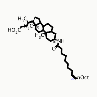 CCCCCCCC/C=C\CCCCCCCC(=O)N[C@H]1CC[C@@]2(C)C(CCC3C2CC[C@@]2(C)C3CC[C@@H]2[C@H](C)CCC(=O)O)C1